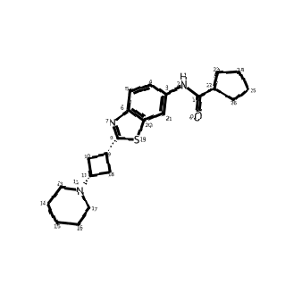 O=C(Nc1ccc2nc([C@H]3C[C@@H](N4CCCCC4)C3)sc2c1)C1CCCC1